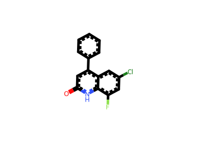 O=c1cc(-c2ccccc2)c2cc(Cl)cc(F)c2[nH]1